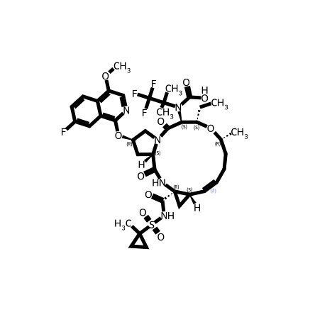 CC[C@@H]1O[C@H](C)CC/C=C\[C@@H]2C[C@@]2(C(=O)NS(=O)(=O)C2(C)CC2)NC(=O)[C@@H]2C[C@@H](Oc3ncc(OC)c4ccc(F)cc34)CN2C(=O)[C@H]1N(C(=O)O)C(C)(C)C(F)(F)F